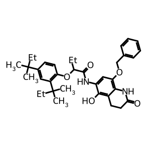 CCC(Oc1ccc(C(C)(C)CC)cc1C(C)(C)CC)C(=O)Nc1cc(OCc2ccccc2)c2c(c1O)CCC(=O)N2